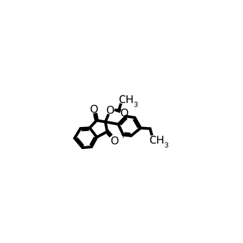 CCc1c[c]c(C2(OC(C)=O)C(=O)c3ccccc3C2=O)cc1